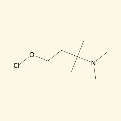 CN(C)C(C)(C)CCOCl